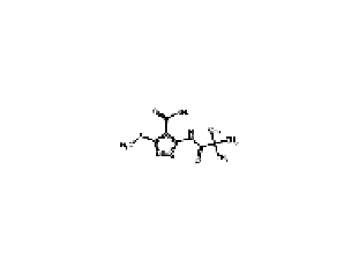 CSc1nsc(NC(=O)C(C)(C)C)c1C(N)=O